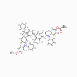 CC(C)(C)Oc1ccc(N(c2ccccc2)c2ccc(C=C(c3ccccc3)c3ccc(/C(=C/c4ccc(N(c5ccccc5)c5ccc(OC(=O)C(C)(C)C)cc5)cc4)c4ccccc4)cc3)cc2)cc1